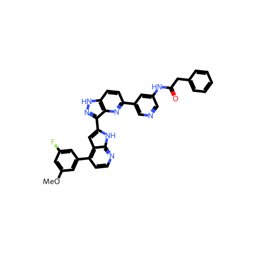 COc1cc(F)cc(-c2ccnc3[nH]c(-c4n[nH]c5ccc(-c6cncc(NC(=O)Cc7ccccc7)c6)nc45)cc23)c1